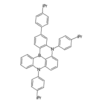 CC(C)c1ccc(-c2ccc3c(c2)N(c2ccc(C(C)C)cc2)c2cccc4c2B3c2ccccc2N4c2ccc(C(C)C)cc2)cc1